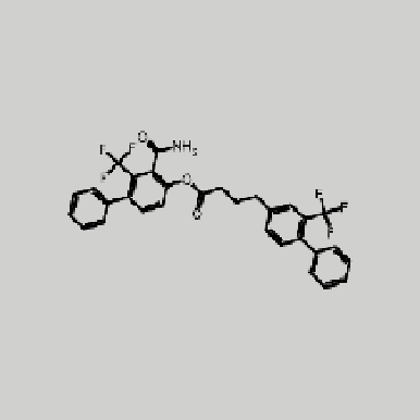 NC(=O)c1c(OC(=O)CCCc2ccc(-c3ccccc3)c(C(F)(F)F)c2)ccc(-c2ccccc2)c1C(F)(F)F